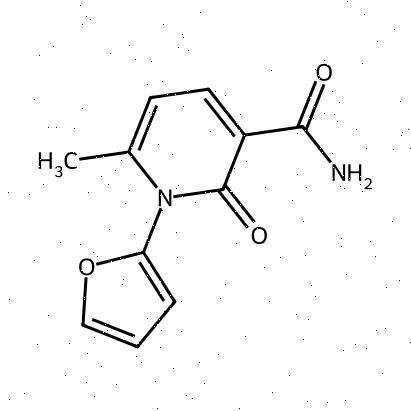 Cc1ccc(C(N)=O)c(=O)n1-c1ccco1